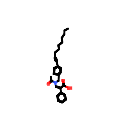 CCCCCCCCC#Cc1ccc(CN(C=C(C(=O)O)c2ccccc2)C(C)=O)cc1